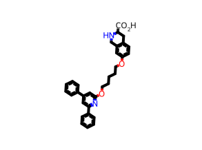 O=C(O)C1Cc2ccc(OCCCCCOc3cc(-c4ccccc4)cc(-c4ccccc4)n3)cc2CN1